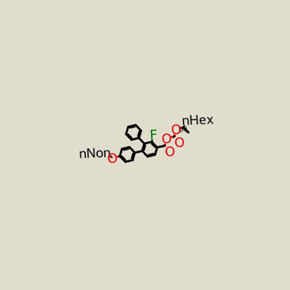 CCCCCCCCCOc1ccc(-c2ccc(C(=O)OC(=O)O[C@H](C)CCCCCC)c(F)c2-c2ccccc2)cc1